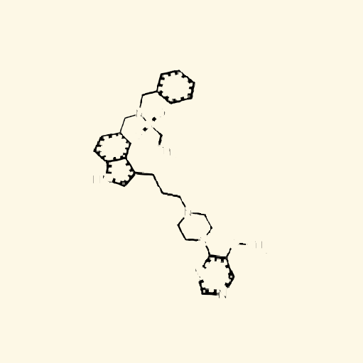 CCS(=O)(=O)N(Cc1ccccc1)Cc1ccc2[nH]cc(CCCN3CCN(c4ncncc4OC)CC3)c2c1